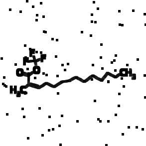 CCCCCCCCCCCC=C(C)C(=O)OC(F)(F)F